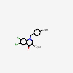 CCOC(=O)c1cn(Cc2ccc(OC)cc2)c2cc(F)c(Br)cc2c1=O